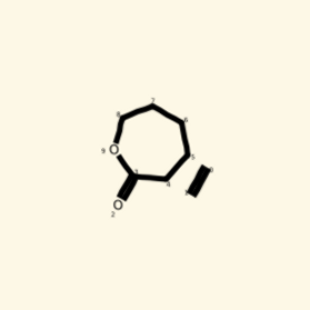 C=C.O=C1CCCCCO1